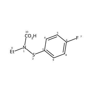 CCN(Sc1ccc(F)cc1)C(=O)O